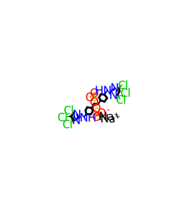 O=S(=O)([O-])c1cc(Nc2nc(Cl)c(Cl)c(Cl)n2)ccc1/C=C/c1ccc(Nc2nc(Cl)c(Cl)c(Cl)n2)cc1S(=O)(=O)[O-].[Na+].[Na+]